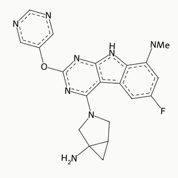 CNc1cc(F)cc2c1[nH]c1nc(Oc3cncnc3)nc(N3CC4CC4(N)C3)c12